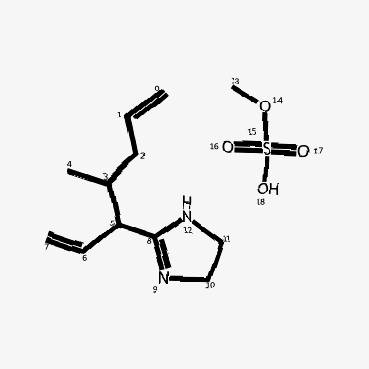 C=CCC(C)C(C=C)C1=NCCN1.COS(=O)(=O)O